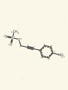 CS(=O)(=O)OCC#Cc1ccc([N+](=O)[O-])cc1